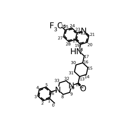 Cc1ccccc1N1CCN(C(=O)C2CCC(CNc3ccnc4cc(C(F)(F)F)ccc34)CC2)CC1